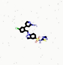 Nc1cc(-c2cc(Cl)ccc2Cn2ncc3cc(S(=O)(=O)Nc4ncns4)ccc32)ccn1